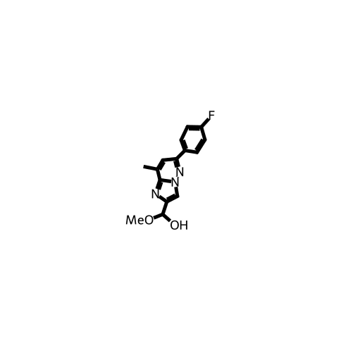 COC(O)c1cn2nc(-c3ccc(F)cc3)cc(C)c2n1